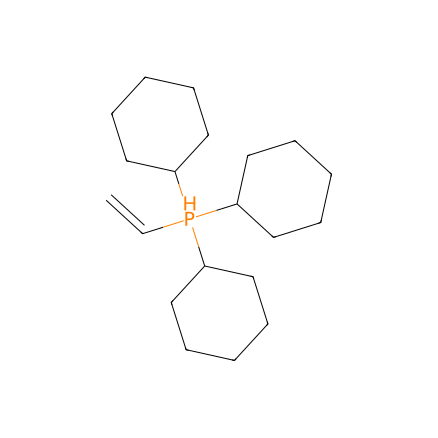 C=C[PH](C1CCCCC1)(C1CCCCC1)C1CCCCC1